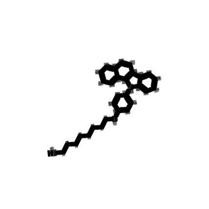 SCCCCCCCCOc1ccc(-n2c3ccccc3c3ccc4ccccc4c32)cc1